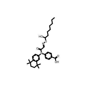 CCCCCCCC(O)ON=CC(=O)N(c1ccc(C(=O)O)cc1)c1ccc2c(c1)C(C)(C)CCC2(C)C